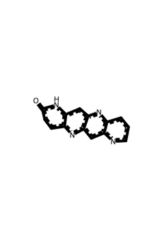 O=c1ccc2nc3cc4ncccc4nc3cc2[nH]1